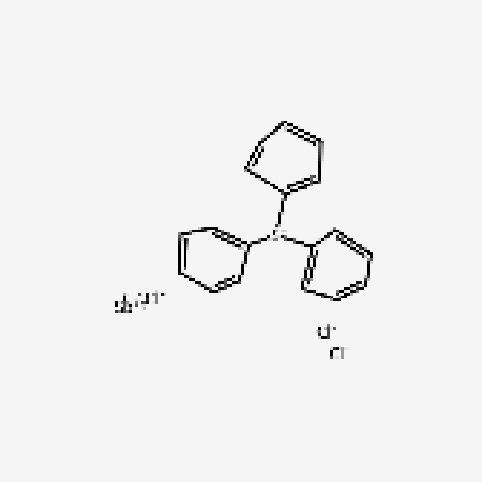 [Cl-].[Cl-].[Cl-].[Cl-].[Sb+3].c1ccc([S+](c2ccccc2)c2ccccc2)cc1